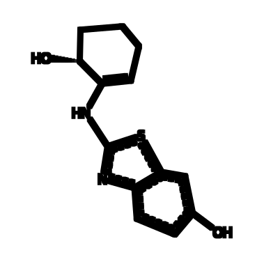 Oc1ccc2nc(NC3=CCCC[C@H]3O)sc2c1